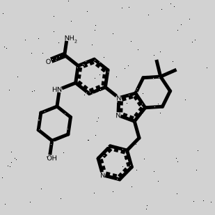 CC1(C)CCc2c(Cc3ccncc3)nn(-c3ccc(C(N)=O)c(NC4CCC(O)CC4)c3)c2C1